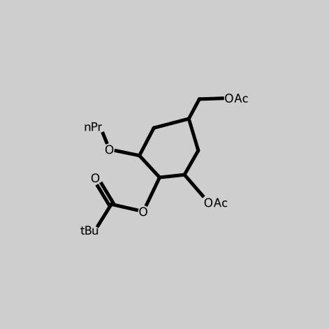 CCCOC1CC(COC(C)=O)CC(OC(C)=O)C1OC(=O)C(C)(C)C